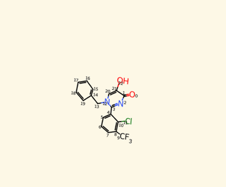 O=c1nc(-c2cccc(C(F)(F)F)c2Cl)n(Cc2ccccc2)cc1O